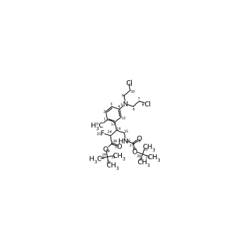 Cc1ccc(N(CCCl)CCCl)cc1C(CNC(=O)OC(C)(C)C)C(F)C(=O)OC(C)(C)C